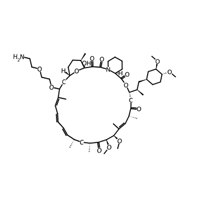 CO[C@@H]1/C(C)=C/[C@@H](C)C(=O)C[C@@H]([C@H](C)C[C@@H]2CC[C@@H](OC)[C@H](OC)C2)OC(=O)[C@@H]2CCCCN2C(=O)C(=O)[C@]2(O)O[C@@H](CC[C@H]2C)CC(OCCOCCN)/C(C)=C/C=C/C=C/[C@@H](C)C[C@@H](C)C(=O)[C@@H]1OC